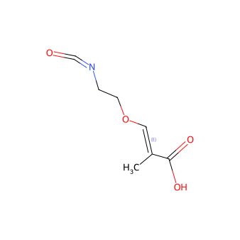 C/C(=C\OCCN=C=O)C(=O)O